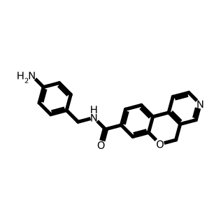 Nc1ccc(CNC(=O)c2ccc3c(c2)OCc2cnccc2-3)cc1